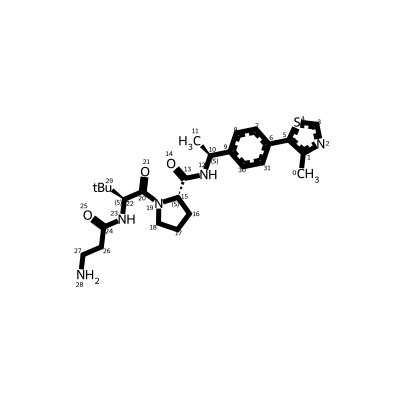 Cc1ncsc1-c1ccc([C@H](C)NC(=O)[C@@H]2CCCN2C(=O)[C@@H](NC(=O)CCN)C(C)(C)C)cc1